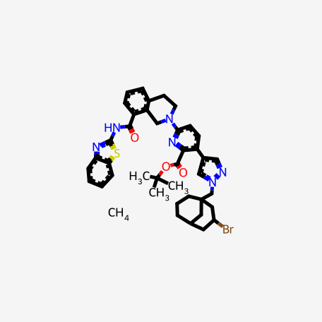 C.CC(C)(C)OC(=O)c1nc(N2CCc3cccc(C(=O)Nc4nc5ccccc5s4)c3C2)ccc1-c1cnn(CC23CCCC(CC(Br)C2)C3)c1